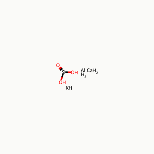 O=[Si](O)O.[AlH3].[CaH2].[KH]